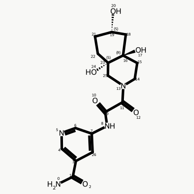 NC(=O)c1cncc(NC(=O)C(=O)N2CC[C@@]3(O)C[C@@H](O)CC[C@]3(O)C2)c1